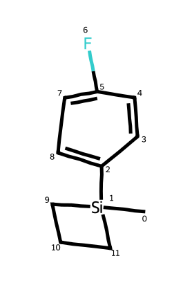 C[Si]1(c2ccc(F)cc2)CCC1